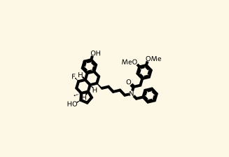 COc1ccc(CC(=O)N(CCCCC[C@@H]2Cc3cc(O)ccc3[C@@H]3[C@@H]2[C@@H]2CC[C@H](O)[C@@]2(C)C[C@@H]3F)Cc2ccccc2)cc1OC